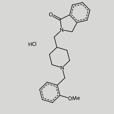 COc1ccccc1CN1CCC(CN2Cc3ccccc3C2=O)CC1.Cl